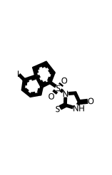 O=C1CN(S(=O)(=O)c2cccc3c(I)cccc23)C(=S)N1